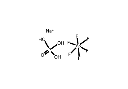 F[As-](F)(F)(F)(F)F.O=P(O)(O)O.[Na+]